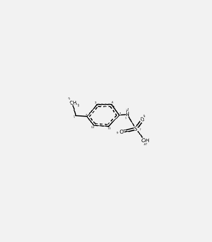 C[CH]c1ccc(NS(=O)(=O)O)cc1